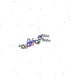 CNCc1cc(C2CN(C(C)C(=O)Nc3ccc(Oc4ccc(F)cc4)cn3)CCC2(F)F)cnc1OC